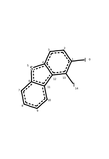 Ic1ccc2sc3ccccc3c2c1I